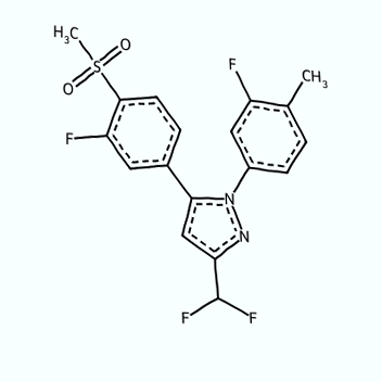 Cc1ccc(-n2nc(C(F)F)cc2-c2ccc(S(C)(=O)=O)c(F)c2)cc1F